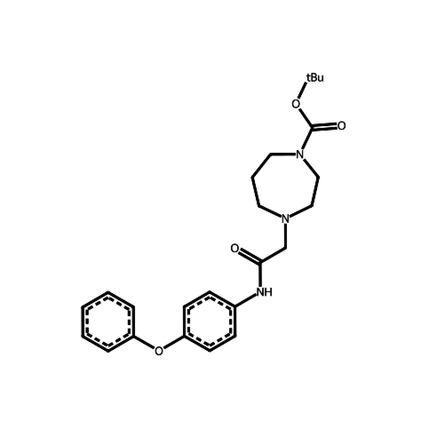 CC(C)(C)OC(=O)N1CCCN(CC(=O)Nc2ccc(Oc3ccccc3)cc2)CC1